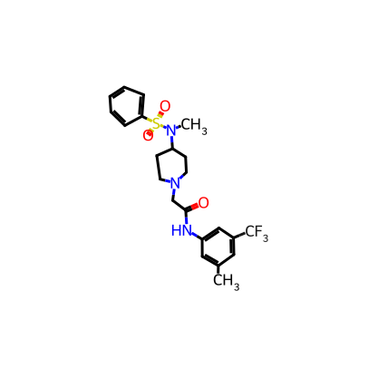 Cc1cc(NC(=O)CN2CCC(N(C)S(=O)(=O)c3ccccc3)CC2)cc(C(F)(F)F)c1